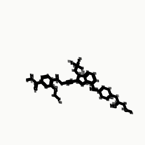 CNC(=O)c1ccc(NCC#Cc2cc3c(NC4CCN(CC(O)COC)CC4)cccc3n2CC(F)(F)F)c(OCF)c1